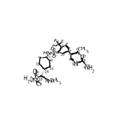 Cc1nc(N)ncc1-c1ccc(C(F)(F)F)c(S(=O)(=O)N[C@H]2CC[C@H](C(N)S(C)(=O)=O)CC2)c1